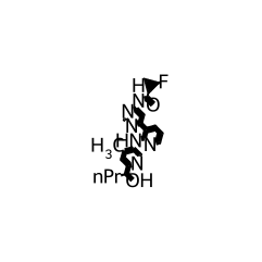 CCC[C@H](O)c1cc(C)c(Nc2ncccc2-c2cc(NC(=O)[C@H]3C[C@H]3F)ncn2)cn1